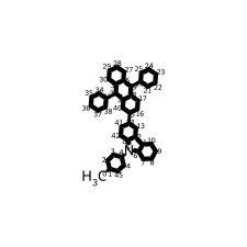 Cc1ccc(-n2c3ccccc3c3cc(-c4ccc5c(-c6ccccc6)c6ccccc6c(-c6ccccc6)c5c4)ccc32)cc1